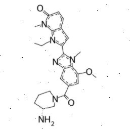 CCn1c(-c2nc3cc(C(=O)N4CCC[C@@H](N)C4)cc(OC)c3n2C)cc2ccc(=O)n(C)c21